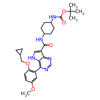 COc1ccc(OCC2CC2)c(-c2ncnc3c(C(=O)NC4CCC(NC(=O)OC(C)(C)C)CC4)c[nH]c23)c1